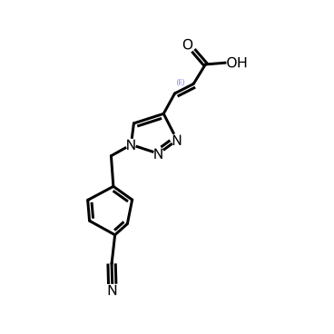 N#Cc1ccc(Cn2cc(/C=C/C(=O)O)nn2)cc1